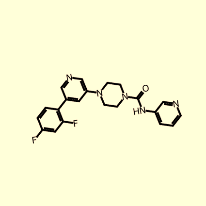 O=C(Nc1cccnc1)N1CCN(c2cncc(-c3ccc(F)cc3F)c2)CC1